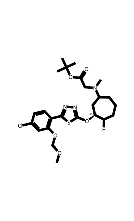 COCOc1cc(Cl)ccc1-c1nnc(O[C@H]2CC(N(C)CC(=O)OC(C)(C)C)CCCC2F)s1